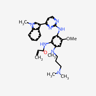 C=CC(=O)Nc1cc(Nc2nccc(-c3cn(C)c4ccccc34)n2)c(OC)cc1N(C)CCCN(C)C